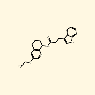 O=C(CCc1c[nH]c2ccccc12)NC1CCCc2cc(OCC(F)(F)F)cnc21